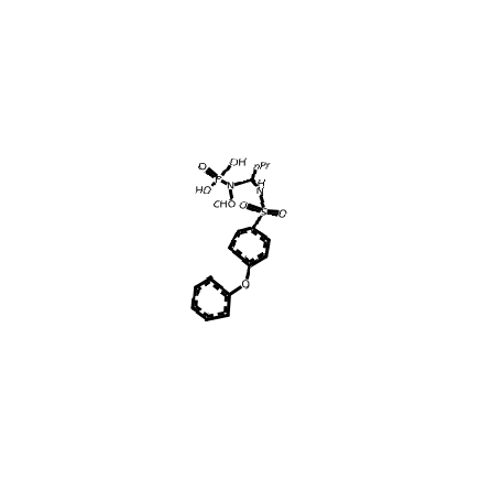 CCCC(NS(=O)(=O)c1ccc(Oc2ccccc2)cc1)N(C=O)P(=O)(O)O